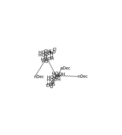 CCCCCCCCCCCCCCCCCCCCCCCCCCNC(CO[C@H]1O[C@H](COC(=S)Nc2cccc(Cl)c2)[C@H](O)[C@H](O)[C@H]1O)C(O)C(O)CCCCCCCCCCCCCCC(O[C@H]1O[C@H](COC(=S)Nc2ccccc2Cl)[C@H](O)[C@H](O)[C@H]1O)[C@@H](NCCCCCCCCCCCCCCCCCCCCCCCCCC)[C@H](O)[C@H](O)CCCCCCCCCCCCCC